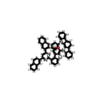 C1=CC2=CC(c3cc(-c4ccc5ccccc5c4)nc(-c4cccc5oc6c(-n7c8ccccc8c8ccc9c%10ccccc%10n(-c%10ccccc%10)c9c87)cccc6c45)n3)=CCC2C=C1